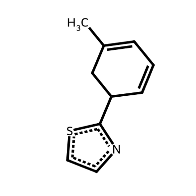 CC1=CC=CC(c2nccs2)C1